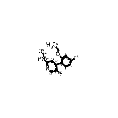 CCOc1cc(F)ccc1-c1cc(NC=O)ncc1F